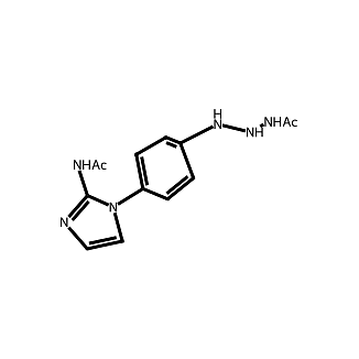 CC(=O)NNNc1ccc(-n2ccnc2NC(C)=O)cc1